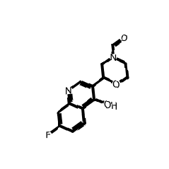 O=CN1CCOC(c2cnc3cc(F)ccc3c2O)C1